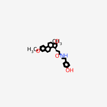 COc1ccc2c(c1)CCC1C2CC[C@]2(C)C(=O)C[C@@H](CCC(=O)NCCc3ccc(O)cc3)C12